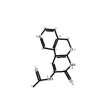 CC(=O)Nc1cc2c([nH]c1=O)OCc1ccncc1-2